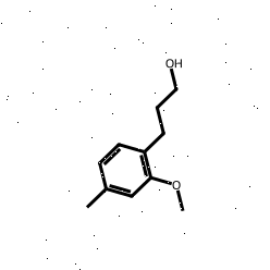 COc1cc(C)ccc1CCCO